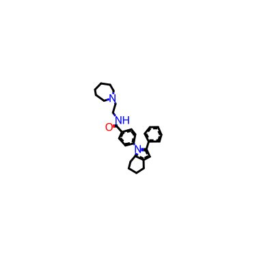 O=C(NCCN1CCCCCC1)c1ccc(-n2c(-c3ccccc3)cc3c2CCCC3)cc1